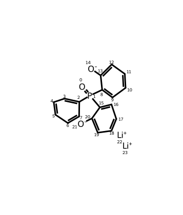 O=P(c1ccccc1)(c1ccccc1[O-])c1ccccc1[O-].[Li+].[Li+]